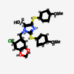 COc1ccc(Sc2nc(Sc3ccc(OC)cc3)n(Cc3cc4c(cc3Cl)OCO4)c2C(=O)O)cc1